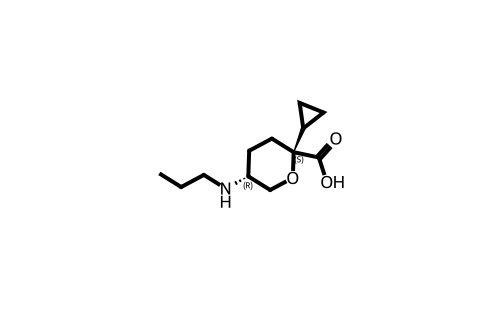 CCCN[C@@H]1CC[C@@](C(=O)O)(C2CC2)OC1